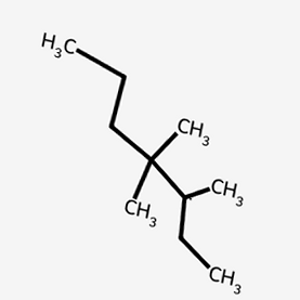 CCCC(C)(C)[C](C)CC